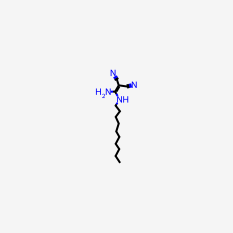 CCCCCCCCCCNC(N)=C(C#N)C#N